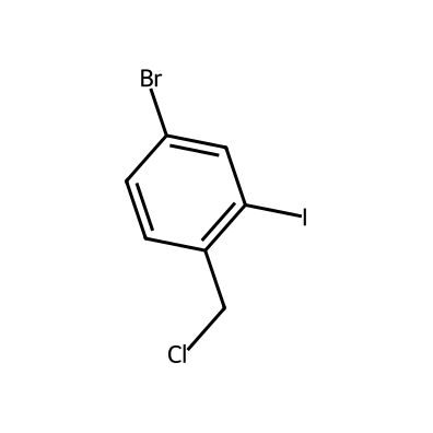 ClCc1ccc(Br)cc1I